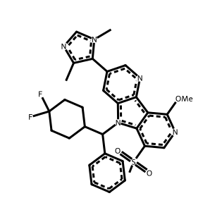 COc1ncc(S(C)(=O)=O)c2c1c1ncc(-c3c(C)ncn3C)cc1n2C(c1ccccc1)C1CCC(F)(F)CC1